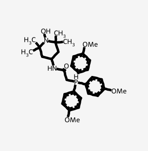 COc1ccc([PH](CC(=O)NC2CC(C)(C)N(O)C(C)(C)C2)(c2ccc(OC)cc2)c2ccc(OC)cc2)cc1